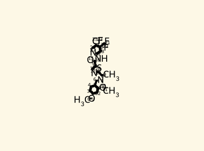 COc1ccc(C/N=C(/C)c2ncc(C(=O)Nc3cc(C(F)(F)F)c(Cl)cn3)s2)c(OC)c1